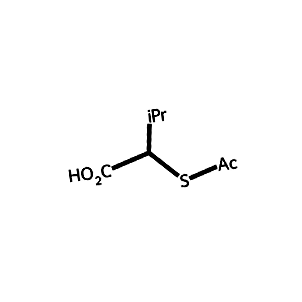 CC(=O)SC(C(=O)O)C(C)C